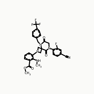 CNc1c(C(=O)OC)cccc1N1CC2(C1)C(=O)N(c1ccc(C#N)cc1F)CC(=O)N2Cc1ccc(C(F)(F)F)cc1